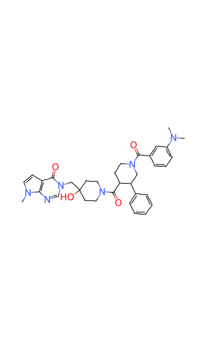 CN(C)c1cccc(C(=O)N2CCC(C(=O)N3CCC(O)(Cn4cnc5c(ccn5C)c4=O)CC3)C(c3ccccc3)C2)c1